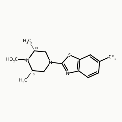 C[C@@H]1CN(c2nc3ccc(C(F)(F)F)cc3s2)C[C@H](C)N1C(=O)O